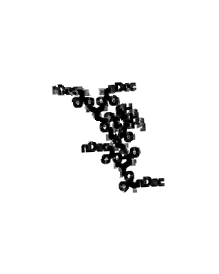 CCCCCCCCCCCC(=O)OCC(COC(=O)CCCCCCCCCCC)CC(=O)OCCN(CCOC(=O)CC(COC(=O)CCCCCCCCCCC)COC(=O)CCCCCCCCCCC)C(=O)N(C)CCN(C)C